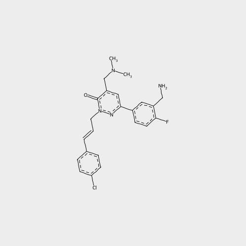 CN(C)Cc1cc(-c2ccc(F)c(CN)c2)nn(CC=Cc2ccc(Cl)cc2)c1=O